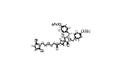 COc1ccc(COC(=O)C2(C(=O)OCc3ccc(OC)cc3)CC(C(=O)CCOCCN3C(=O)C=CC3=O)C2)cc1